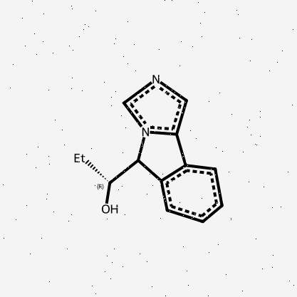 CC[C@@H](O)C1c2ccccc2-c2cncn21